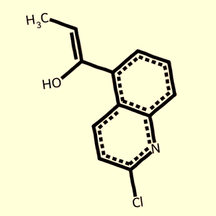 C/C=C(\O)c1cccc2nc(Cl)ccc12